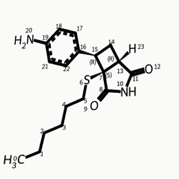 CCCCCCS[C@]12C(=O)NC(=O)[C@H]1C[C@@H]2c1ccc(N)cc1